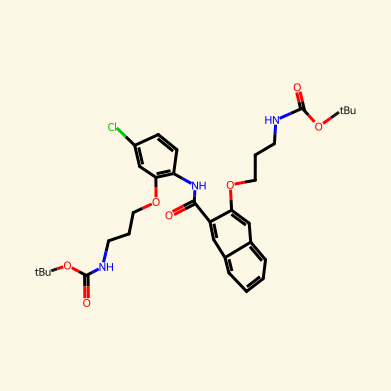 CC(C)(C)OC(=O)NCCCOc1cc(Cl)ccc1NC(=O)c1cc2ccccc2cc1OCCCNC(=O)OC(C)(C)C